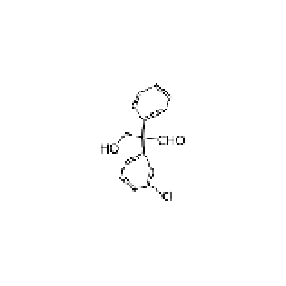 O=CC(CO)(c1ccccc1)c1cccc(Cl)c1